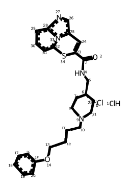 Cl.Cl.O=C(NCC1CCN(CCCCOc2ccccc2)CC1)C1=Cc2cnc3cccc(n23)S1